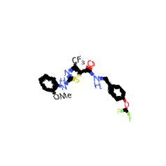 COc1ccccc1Nc1nc(C(F)(F)F)c(C(=O)NCc2ccc(OC(F)F)cc2)s1